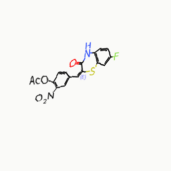 CC(=O)Oc1ccc(/C=C2/Sc3cc(F)ccc3NC2=O)cc1[N+](=O)[O-]